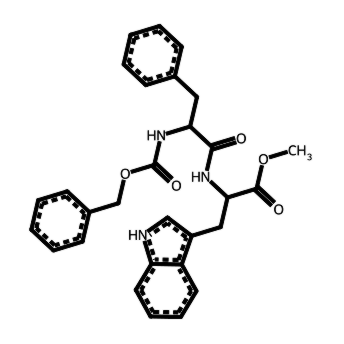 COC(=O)C(Cc1c[nH]c2ccccc12)NC(=O)C(Cc1ccccc1)NC(=O)OCc1ccccc1